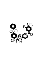 O=C(c1ccc(C(F)(F)F)c(F)c1)N1CCC(NS(=O)(=O)c2cc(S(=O)(=O)c3ccccc3)ccc2C(F)(F)F)CC1